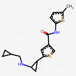 Cc1ccc(NC(=O)c2csc(C3CC3NCC3CC3)c2)s1